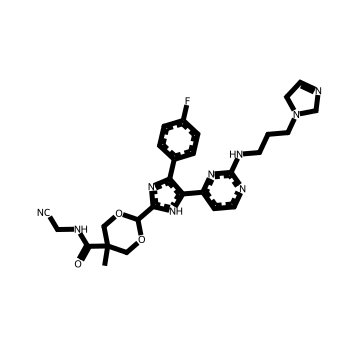 CC1(C(=O)NCC#N)COC(c2nc(-c3ccc(F)cc3)c(-c3ccnc(NCCCN4CC=NC4)n3)[nH]2)OC1